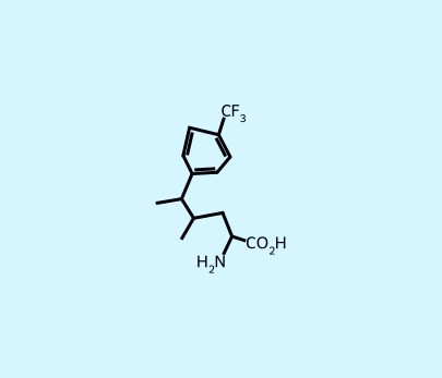 CC(CC(N)C(=O)O)C(C)c1ccc(C(F)(F)F)cc1